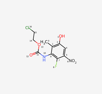 Cc1c(O)cc([N+](=O)[O-])c(F)c1NC(=O)OCCCl